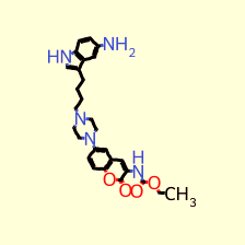 CCOC(=O)Nc1cc2cc(N3CCN(CCCCc4c[nH]c5ccc(N)cc45)CC3)ccc2oc1=O